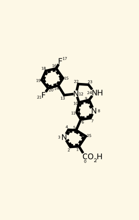 O=C(O)c1cncc(-c2cnc3c(c2)N(Cc2cc(F)ccc2F)CCN3)c1